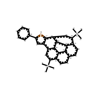 C[Si](C)(C)c1cc2c3cc(-c4ccccc4)sc3c3cc([Si](C)(C)C)c4ccc5ccc1c1c5c4c3c21